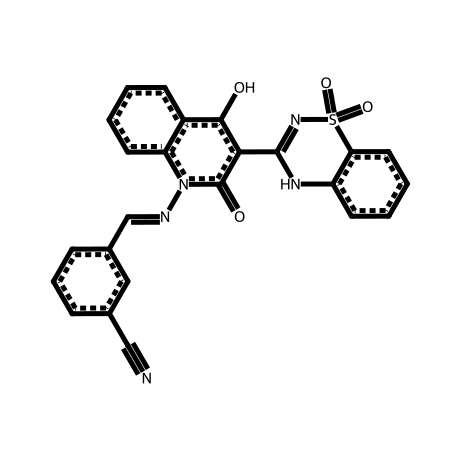 N#Cc1cccc(C=Nn2c(=O)c(C3=NS(=O)(=O)c4ccccc4N3)c(O)c3ccccc32)c1